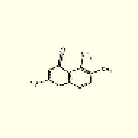 Cc1ccc2oc(C(F)(F)F)cc(=O)c2c1[N+](=O)[O-]